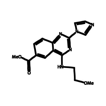 COCCNc1nc(-n2ccnc2)nc2ccc(C(=O)OC)cc12